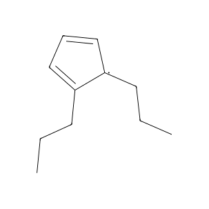 CCC[C]1C=CC=C1CCC